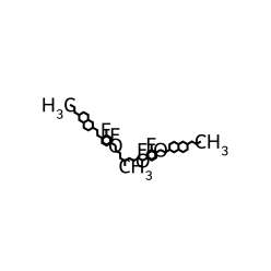 CCCC1CCC2CC(CCc3ccc(OCCCC(C)CCCOc4ccc(OCC5CCC6CC(CCC)CCC6C5)c(F)c4F)c(F)c3F)CCC2C1